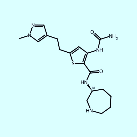 Cn1cc(CCc2cc(NC(N)=O)c(C(=O)N[C@H]3CCCCNC3)s2)cn1